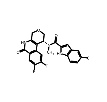 CN(C(=O)c1cc2cc(Cl)ccc2[nH]1)[C@H]1COCc2[nH]c(=O)c3cc(F)c(F)cc3c21